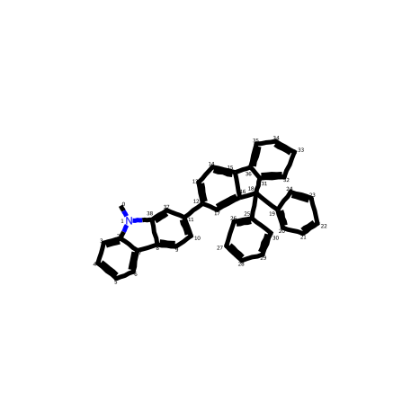 Cn1c2ccccc2c2ccc(-c3ccc4c(c3)C(c3ccccc3)(c3ccccc3)c3ccccc3-4)cc21